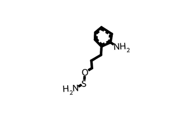 NSOCCCc1ccccc1N